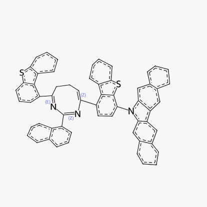 C1=C(c2ccc(-n3c4cc5ccccc5cc4c4cc5ccccc5cc43)c3sc4ccccc4c23)/N=C(c2cccc3ccccc23)\N=C(\c2cccc3sc4ccccc4c23)CC\1